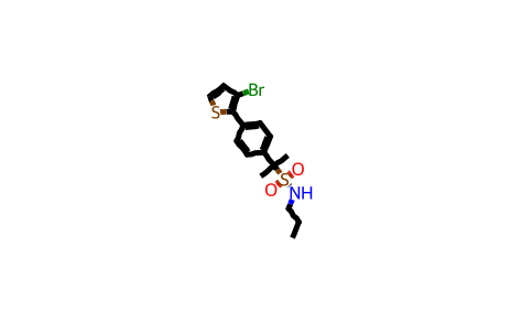 CCCNS(=O)(=O)C(C)(C)c1ccc(-c2sccc2Br)cc1